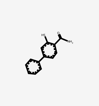 NC(=O)c1ccc(-c2ccccc2)cc1S